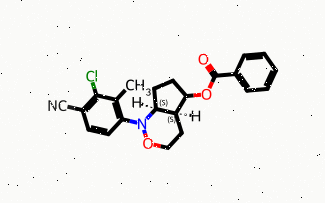 Cc1c(N2OCC[C@@H]3C(OC(=O)c4ccccc4)CC[C@@H]32)ccc(C#N)c1Cl